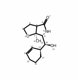 C[C@]12OCCC1C(=O)N[C@@H]2[C@@H](O)[C@@H]1C=CCCC1